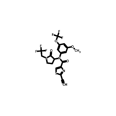 C#Cc1nc(C(=O)N(c2cc(OC)cc(OC(F)(F)F)c2)C2CCN(CC(F)(F)F)C2=O)cs1